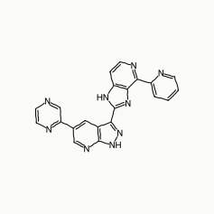 c1ccc(-c2nccc3[nH]c(-c4n[nH]c5ncc(-c6cnccn6)cc45)nc23)nc1